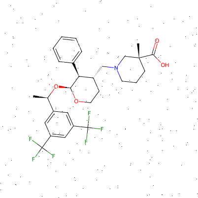 C[C@@H](O[C@@H]1OCC[C@@H](CN2CCC[C@@](C)(C(=O)O)C2)[C@@H]1c1ccccc1)c1cc(C(F)(F)F)cc(C(F)(F)F)c1